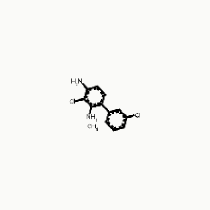 C.Nc1ccc(-c2cccc(Cl)c2)c(N)c1Cl